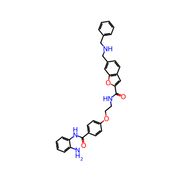 Nc1ccccc1NC(=O)c1ccc(OCCNC(=O)c2cc3ccc(CNCc4ccccc4)cc3o2)cc1